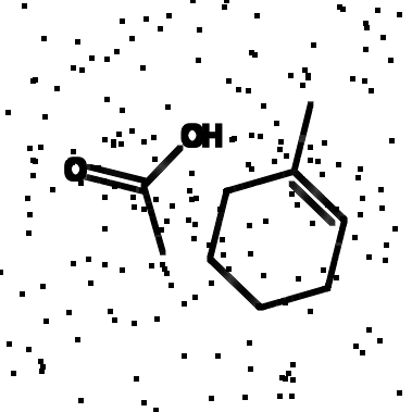 CC(=O)O.CC1=CCCCC1